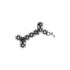 Cc1ccc(-c2cc(-c3ccccn3)nc(-c3ccc(-c4ccc(-c5ccc(-c6nc(-c7ccccc7)nc(-c7ccccc7)n6)cc5)cc4)cn3)c2)cc1